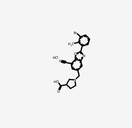 Cc1c(Br)cccc1-c1nc2cc(CN3CCC(C(=O)O)C3)cc(C#N)c2o1.Cl